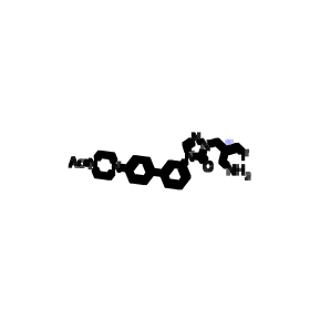 CC(=O)N1CCN(c2ccc(-c3cccc(-n4cnn(C/C(=C/F)CN)c4=O)c3)cc2)CC1